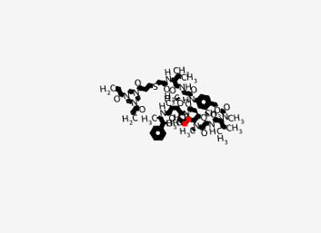 C=CC(=O)N1CN(C(=O)C=C)CN(C(=O)CCSCC(=O)NC(C(=O)NCC(=O)Nc2ccc(COC(=O)N(C)C(C(=O)NCC(=O)N(C)[C@@H]([C@H](C)CC)[C@@H](CC(=O)N3CCC[C@H]3[C@H](OC)[C@@H](C)C(=O)N[C@H](C)[C@@H](O)c3ccccc3)OC)C(C)C)cc2)C(C)C)C1